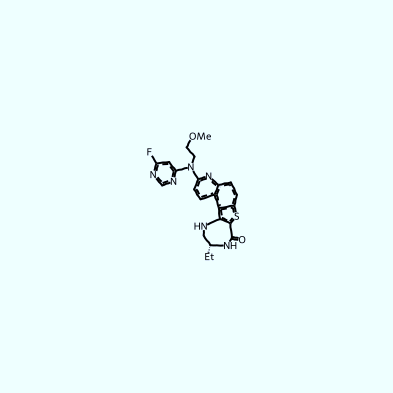 CC[C@@H]1CNc2c(sc3ccc4nc(N(CCOC)c5cc(F)ncn5)ccc4c23)C(=O)N1